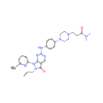 C=CCn1c(=O)c2cnc(Nc3ccc(N4CCN(CCC(=O)N(C)C)CC4)cc3)nc2n1-c1cccc(C(C)(C)C)n1